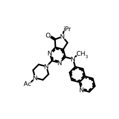 CC(=O)N1CCN(c2nc3c(c(N(C)c4ccc5ncccc5c4)n2)CN(C(C)C)C3=O)CC1